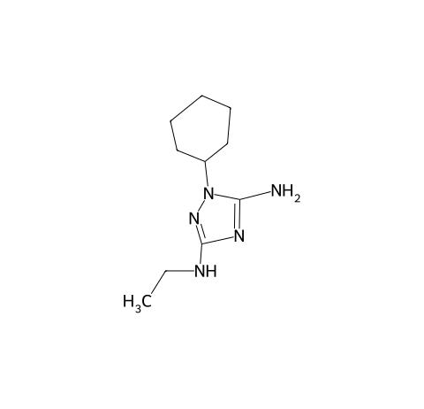 CCNc1nc(N)n(C2CCCCC2)n1